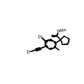 C=C(NC)C1(c2cc(CC)c(C#CCC)cc2C)CCCC1